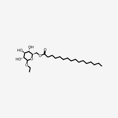 CCCCCCCCCCCCCCCC(=O)OC[C@H]1OC(OCC)[C@H](O)[C@@H](O)[C@@H]1O